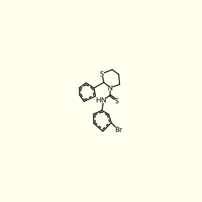 S=C(Nc1cccc(Br)c1)N1CCCSC1c1ccccc1